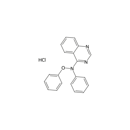 Cl.c1ccc(ON(c2ccccc2)c2ncnc3ccccc23)cc1